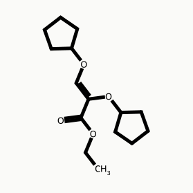 CCOC(=O)C(=COC1CCCC1)OC1CCCC1